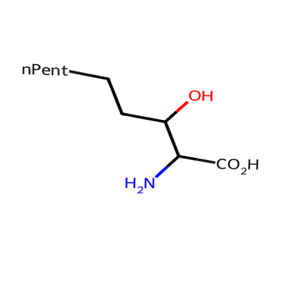 CCCCCCCC(O)C(N)C(=O)O